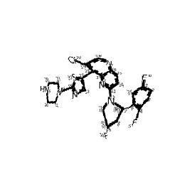 Fc1ccc(F)c([C@H]2C[C@H](F)CN2c2ccc3ncc(Cl)c(-c4cnc(N5CCNCC5)s4)c3n2)c1